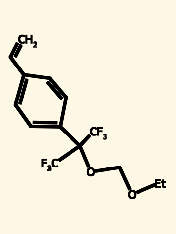 C=Cc1ccc(C(OCOCC)(C(F)(F)F)C(F)(F)F)cc1